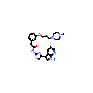 CN1CCN(CCCOc2cccc(CC(=O)Nc3nc(-c4c[nH]c5ncc(F)cc45)cs3)c2)CC1